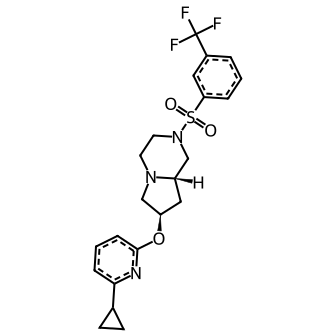 O=S(=O)(c1cccc(C(F)(F)F)c1)N1CCN2C[C@H](Oc3cccc(C4CC4)n3)C[C@H]2C1